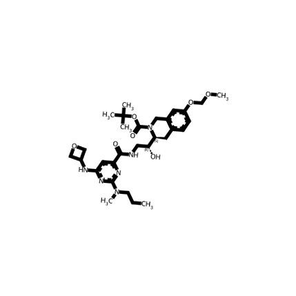 CCCN(C)c1nc(NC2COC2)cc(C(=O)NC[C@@H](O)[C@@H]2Cc3ccc(OCOC)cc3CN2C(=O)OC(C)(C)C)n1